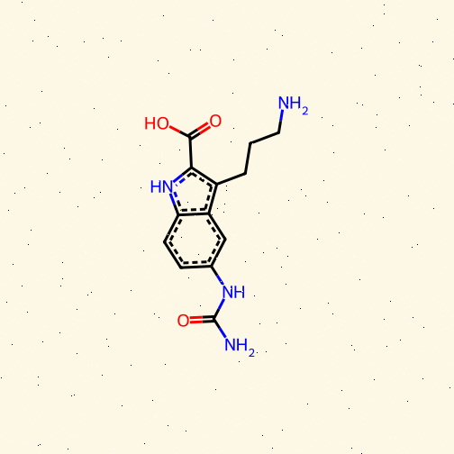 NCCCc1c(C(=O)O)[nH]c2ccc(NC(N)=O)cc12